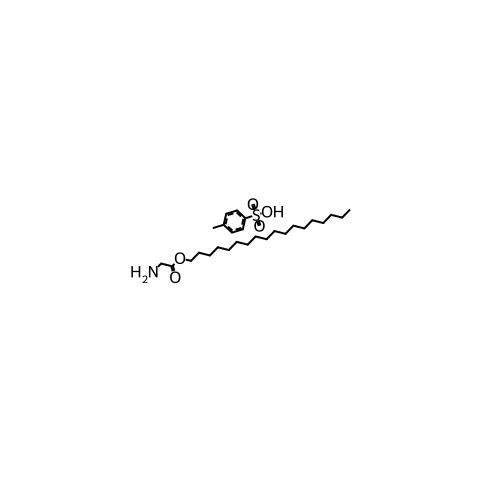 CCCCCCCCCCCCCCCCCCOC(=O)CN.Cc1ccc(S(=O)(=O)O)cc1